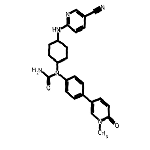 Cn1cc(-c2ccc(N(C(N)=O)C3CCC(Nc4ccc(C#N)cn4)CC3)cc2)ccc1=O